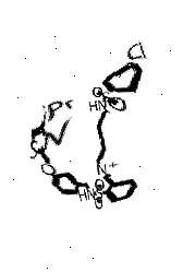 CC(C)c1csc(COc2cccc(CNS(=O)(=O)c3ccccc3C#[N+]CCCCNS(=O)(=O)c3ccc(Cl)cc3)c2)n1